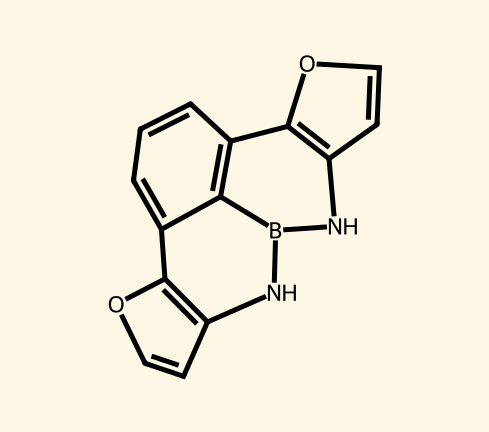 c1cc2c3c(c1)-c1occc1NB3Nc1ccoc1-2